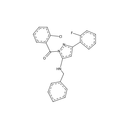 O=C(c1ccccc1Cl)n1nc(-c2ccccc2F)cc1NCc1ccccc1